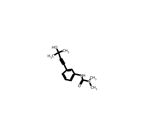 CN(C)C(=O)Nc1cccc(C#CC(C)(C)O)c1